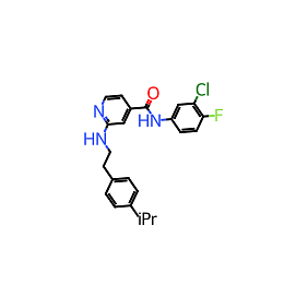 CC(C)c1ccc(CCNc2cc(C(=O)Nc3ccc(F)c(Cl)c3)ccn2)cc1